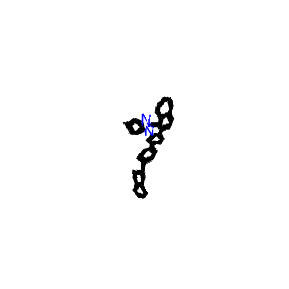 C1=CCc2c(ccc3c4ccc(-c5ccc(-c6ccc7ccccc7c6)cc5)cc4n4c5ccccc5nc4c23)C=C1